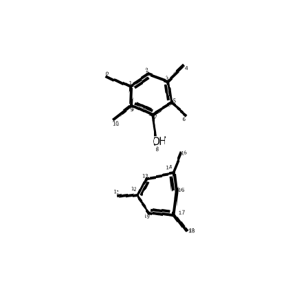 Cc1cc(C)c(C)c(O)c1C.Cc1cc(C)cc(C)c1